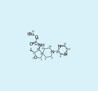 C[C@@H]1OCC2(CCN(c3cnccn3)CC2)[C@@H]1NC(=O)OC(C)(C)C